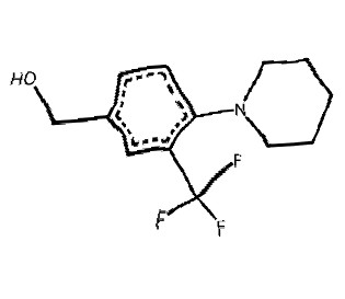 OCc1ccc(N2CCCCC2)c(C(F)(F)F)c1